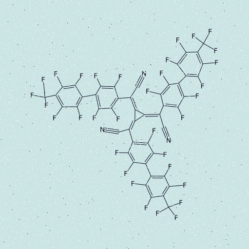 N#CC(=C1C(=C(C#N)c2c(F)c(F)c(-c3c(F)c(F)c(C(F)(F)F)c(F)c3F)c(F)c2F)C1=C(C#N)c1c(F)c(F)c(-c2c(F)c(F)c(C(F)(F)F)c(F)c2F)c(F)c1F)c1c(F)c(F)c(-c2c(F)c(F)c(C(F)(F)F)c(F)c2F)c(F)c1F